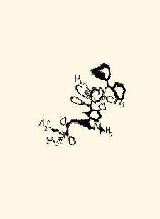 C=CCN(C)C(=O)C(=O)c1cn(N)c2cc(Cl)c(C(=O)N3C[C@H](C)N(C(c4ccccc4)c4ccccc4)C[C@H]3C)cc12